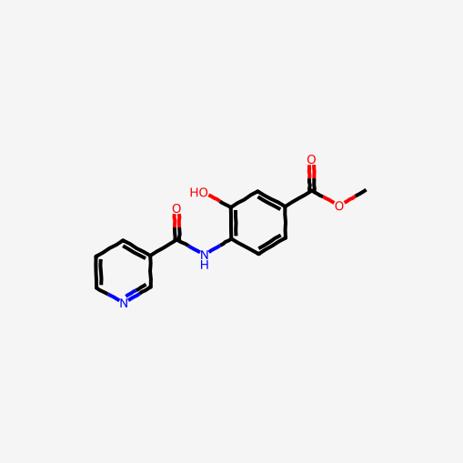 COC(=O)c1ccc(NC(=O)c2cccnc2)c(O)c1